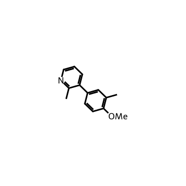 COc1ccc(-c2cccnc2C)cc1C